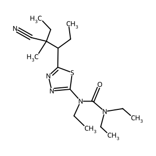 CCC(c1nnc(N(CC)C(=O)N(CC)CC)s1)C(C)(C#N)CC